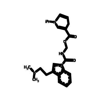 CC(C)N1C=CCC(C(=O)OCNC(=O)n2cc(CCN(C)C)c3ccccc32)=C1